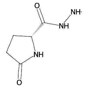 [NH]NC(=O)[C@H]1CCC(=O)N1